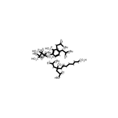 CCCCC(CC)CC(CCCCCCCC(=O)O)(CC(CC)CCCC)C(=O)O.CCCCC(CC)Cc1ccc(C(=O)O)c(C(=O)O)c1CC(CC)CCCC.CCCCC(CCCC)(C(=O)O)C(O)(C(=O)O)C(CCCC)(C(C)=O)C(=O)O